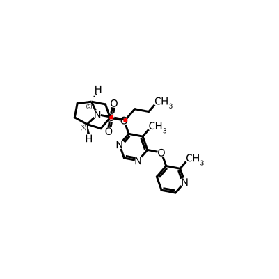 CCCCS(=O)(=O)N1[C@H]2CC[C@H]1CC(Oc1ncnc(Oc3cccnc3C)c1C)C2